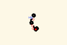 O=C(Cc1ccc(OCC(=O)C23CC4CC(CC(C4)C2)C3)cc1)Nc1ccccc1